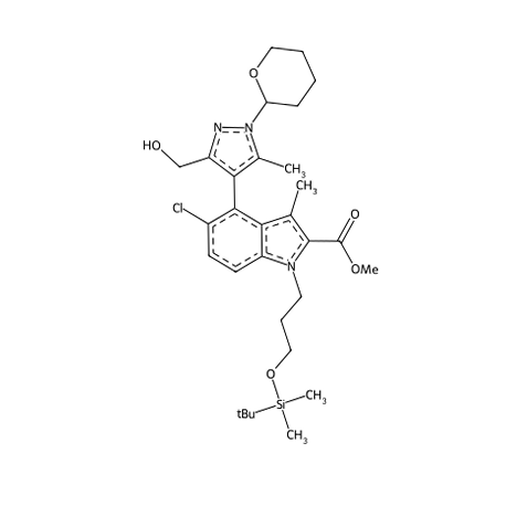 COC(=O)c1c(C)c2c(-c3c(CO)nn(C4CCCCO4)c3C)c(Cl)ccc2n1CCCO[Si](C)(C)C(C)(C)C